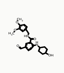 COc1ccc(CNC(=O)c2cc(C=O)ccc2NC2CCC(O)CC2)cc1OC